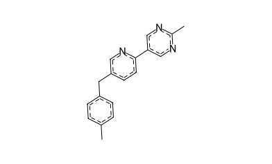 Cc1ccc(Cc2ccc(-c3cnc(C)nc3)nc2)cc1